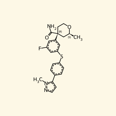 C[C@H]1C[C@@](C(N)=O)(c2cc(F)cc(Sc3ccc(-c4ccnn4C)cc3)c2)CCO1